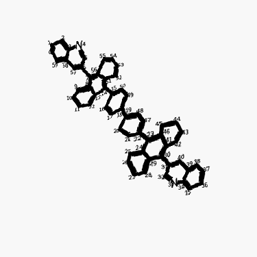 c1ccc2ncc(-c3c4ccccc4c(-c4ccc(-c5ccc(-c6c7ccccc7c(-c7cnc8ccccc8c7)c7ccccc67)cc5)cc4)c4ccccc34)cc2c1